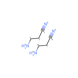 N#CCCN.N#CCCN